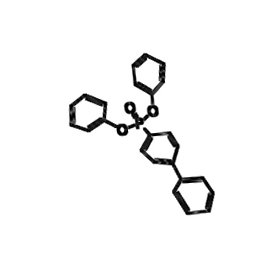 O=P(Oc1ccccc1)(Oc1ccccc1)c1ccc(-c2ccccc2)cc1